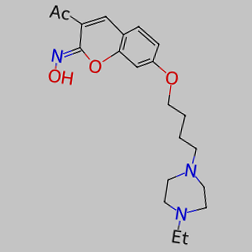 CCN1CCN(CCCCOc2ccc3cc(C(C)=O)c(=NO)oc3c2)CC1